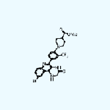 COC(=O)C1CCN(c2ccc(-c3nc4ccc(Br)cc4c4c3NC(=O)CN4)cc2C(F)(F)F)CC1